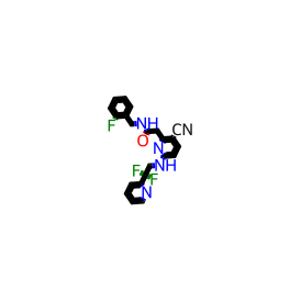 N#Cc1ccc(NCC(F)(F)c2ccccn2)nc1CC(=O)NCc1ccccc1F